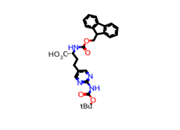 CC(C)(C)OC(=O)Nc1ncc(CC[C@@H](NC(=O)OCC2c3ccccc3-c3ccccc32)C(=O)O)cn1